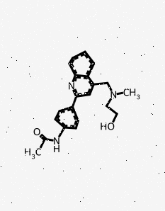 CC(=O)Nc1ccc(-c2cc(CN(C)CCO)c3ccccc3n2)cc1